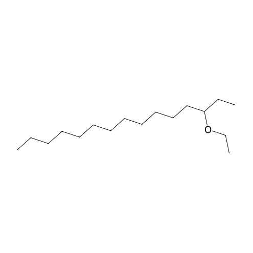 CCCCCCCCCCCCC(CC)OCC